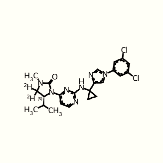 [2H]C1([2H])[C@H](C(C)C)N(c2ccnc(NC3(c4cn(-c5cc(Cl)cc(Cl)c5)cn4)CC3)n2)C(=O)N1C